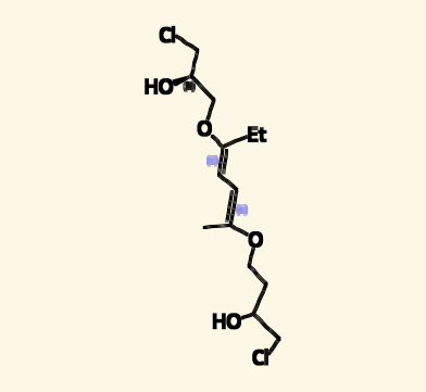 CC/C(=C\C=C(/C)OCCC(O)CCl)OC[C@@H](O)CCl